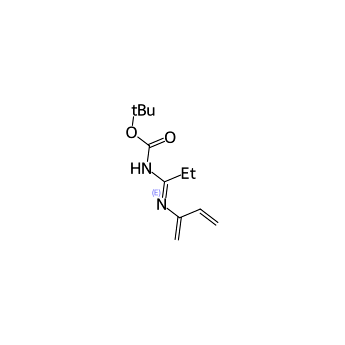 C=CC(=C)/N=C(\CC)NC(=O)OC(C)(C)C